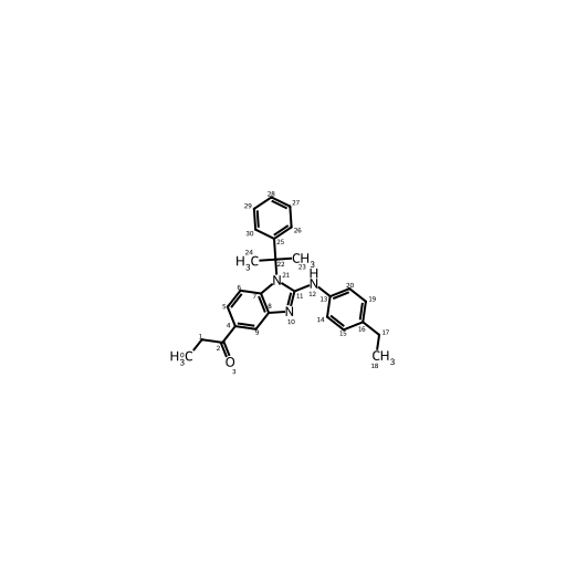 CCC(=O)c1ccc2c(c1)nc(Nc1ccc(CC)cc1)n2C(C)(C)c1ccccc1